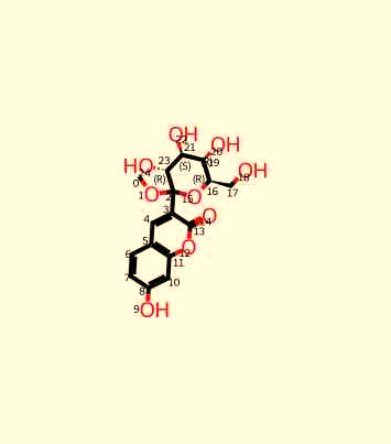 COC1(c2cc3ccc(O)cc3oc2=O)O[C@H](CO)[C@H](O)[C@H](O)[C@H]1O